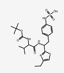 CCc1csc(C(Cc2ccc(NS(=O)(=O)O)cc2)NC(=O)C(NC(=O)OC(C)(C)C)C(C)C)n1